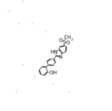 CS(=O)(=O)c1ccc2nc(-c3ccc(-c4ccccc4O)cc3)[nH]c2c1